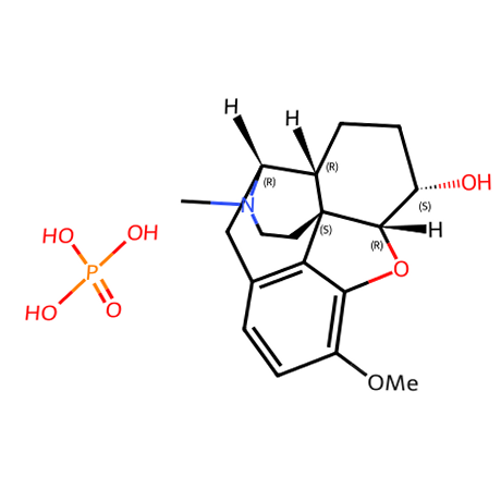 COc1ccc2c3c1O[C@H]1[C@@H](O)CC[C@H]4[C@@H](C2)N(C)CC[C@@]341.O=P(O)(O)O